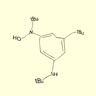 CC(C)(C)Nc1cc(N(O)C(C)(C)C)cc(C(C)(C)C)c1